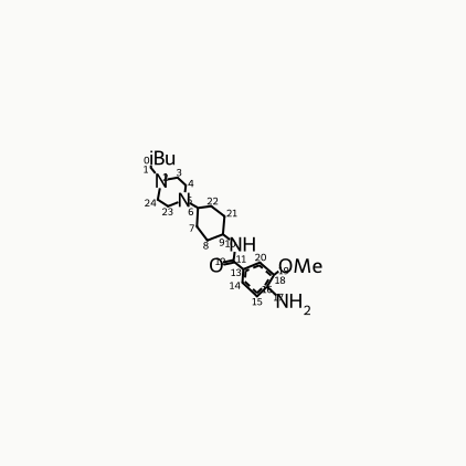 CCC(C)CN1CCN(C2CCC(NC(=O)c3ccc(N)c(OC)c3)CC2)CC1